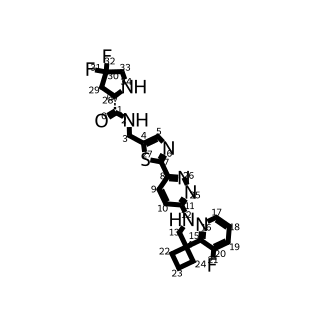 O=C(NCc1cnc(-c2ccc(NCC3(c4ncccc4F)CCC3)nn2)s1)[C@@H]1CC(F)(F)CN1